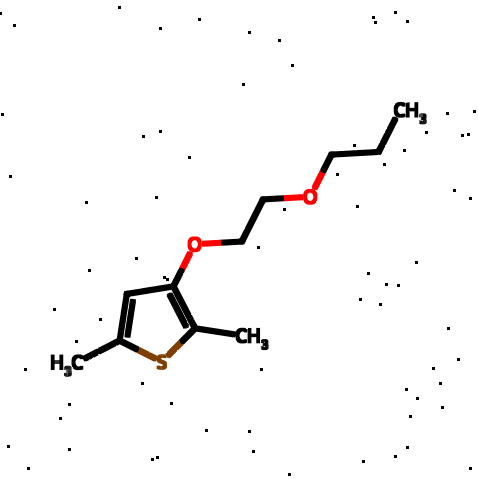 CCCOCCOc1cc(C)sc1C